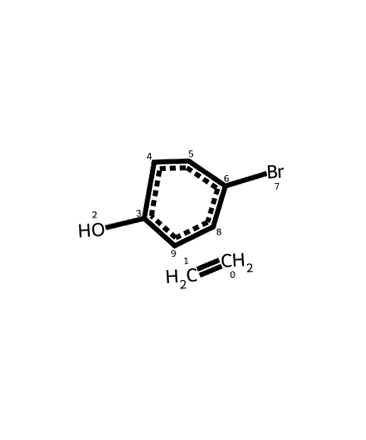 C=C.Oc1ccc(Br)cc1